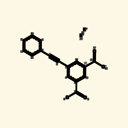 O=C([O-])c1cc(C#Cc2ccccc2)cc(C(=O)[O-])c1.[K+].[K+]